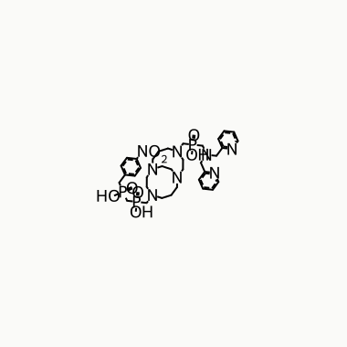 O=[N+]([O-])c1ccc(CP(=O)(O)CP(=O)(O)CN2CCCN3CCN(CCCN(CP(=O)(O)CN(Cc4ccccn4)Cc4ccccn4)CC3)CC2)cc1